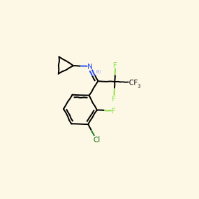 Fc1c(Cl)cccc1/C(=N\C1CC1)C(F)(F)C(F)(F)F